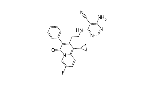 N#Cc1c(N)ncnc1NCCc1c(-c2ccccc2)c(=O)n2cc(F)ccc2c1C1CC1